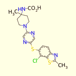 Cc1nc2ccc(Sc3cnc(N4CCC(C)(NC(=O)O)CC4)cn3)c(Cl)c2s1